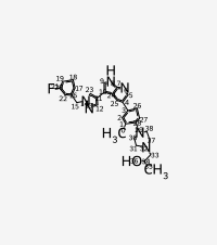 Cc1cc(-c2cnc3[nH]cc(-c4cnn(Cc5cccc(F)c5)c4)c3c2)ccc1N1CCN(CC(C)O)CC1